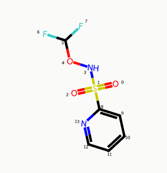 O=S(=O)(NOC(F)F)c1ccccn1